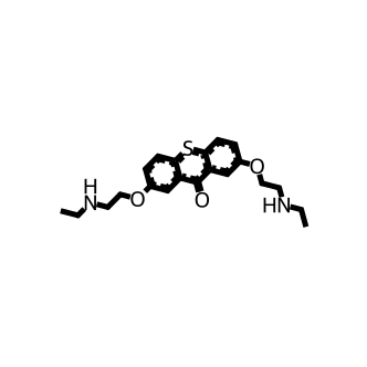 CCNCCOc1ccc2sc3ccc(OCCNCC)cc3c(=O)c2c1